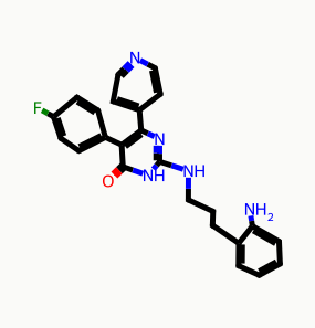 Nc1ccccc1CCCNc1nc(-c2ccncc2)c(-c2ccc(F)cc2)c(=O)[nH]1